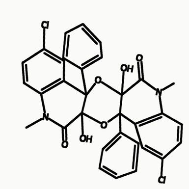 CN1C(=O)C2(O)OC3(c4ccccc4)c4cc(Cl)ccc4N(C)C(=O)C3(O)OC2(c2ccccc2)c2cc(Cl)ccc21